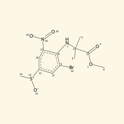 COC(=O)C(C)(C)Nc1c(Br)cc([S+](C)[O-])cc1[N+](=O)[O-]